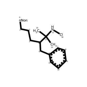 CCCCCCCCCCCCC(Cc1ccccc1)C(C)(C)NCl